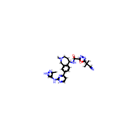 Cc1n[nH]cc1Nc1nccc(-c2ccc3c(c2)CN(C)CCC3NC(=O)c2nnc(C(C)(C)C#N)o2)n1